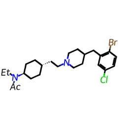 CCN(C(C)=O)[C@H]1CC[C@H](CCN2CCC(Cc3cc(Cl)ccc3Br)CC2)CC1